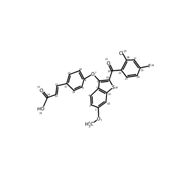 COc1ccc2c(Oc3ccc(C=CC(=O)O)cc3)c(C(=O)c3ccc(F)cc3Cl)sc2c1